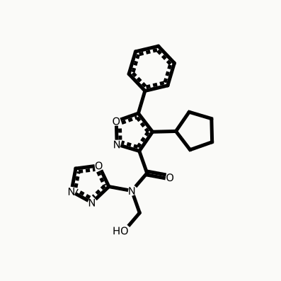 O=C(c1noc(-c2ccccc2)c1C1CCCC1)N(CO)c1nnco1